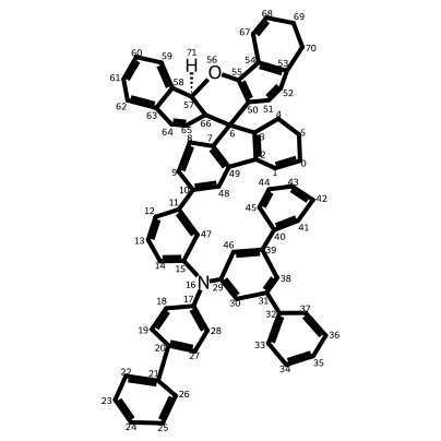 C1=CC2=C(CC1)C1(c3ccc(-c4cccc(N(c5ccc(-c6ccccc6)cc5)c5cc(-c6ccccc6)cc(-c6ccccc6)c5)c4)cc32)c2ccc3c(c2O[C@@H]2c4ccccc4C=CC21)C=CCC3